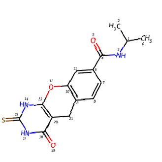 CC(C)NC(=O)c1ccc2c(c1)Oc1[nH]c(=S)[nH]c(=O)c1C2